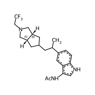 CC(=O)Nc1c[nH]c2ccc(C(C)CC3C[C@@H]4CN(CC(F)(F)F)C[C@@H]4C3)cc12